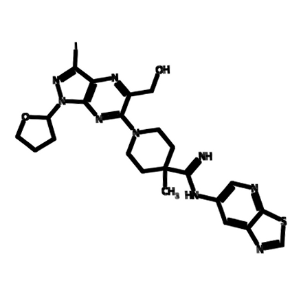 CC1(C(=N)Nc2cnc3scnc3c2)CCN(c2nc3c(nc2CO)c(I)nn3C2CCCO2)CC1